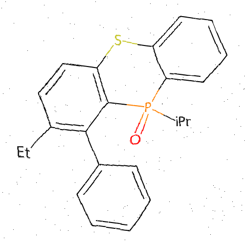 CCc1ccc2c(c1-c1ccccc1)P(=O)(C(C)C)c1ccccc1S2